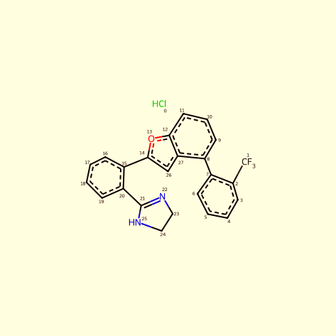 Cl.FC(F)(F)c1ccccc1-c1cccc2oc(-c3ccccc3C3=NCCN3)cc12